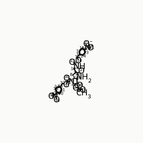 CS(=O)(=O)O[C@@H]1C[C@H](CC(CNC(=O)OCc2ccc([N+](=O)[O-])cc2)C(N)=O)N(C(=O)OCc2ccc([N+](=O)[O-])cc2)C1